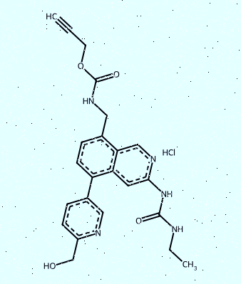 C#CCOC(=O)NCc1ccc(-c2ccc(CO)nc2)c2cc(NC(=O)NCC)ncc12.Cl